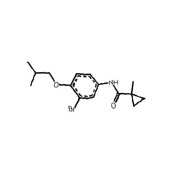 CC(C)COc1ccc(NC(=O)C2(C)CC2)cc1Br